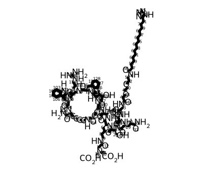 CCCC[C@H](NC(=O)[C@H](CCCCNC(=O)CN(CC(=O)O)CC(=O)O)NC(=O)[C@H](CO)NC(=O)[C@H](CCC(N)=O)NC(=O)[C@H](CO)NC(=O)CNC(=O)COCCOCCNC(=O)CCCCCCCCCCCCCCCc1nnn[nH]1)C(=O)N[C@H]1CCC(=O)NCCCC[C@@H](C(N)=O)NC(=O)[C@H](Cc2c[nH]c3ccccc23)NC(=O)[C@H](CCCNC(=N)N)NC(=O)[C@@H](Cc2ccccc2)NC(=O)[C@@H]2C[C@@H](O)CN2C1=O